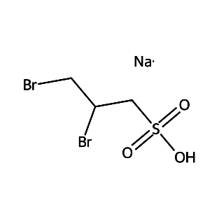 O=S(=O)(O)CC(Br)CBr.[Na]